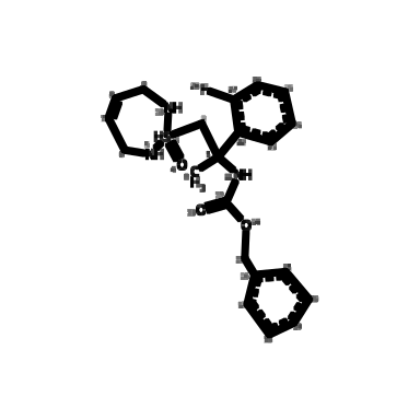 CC(C[SH]1(=O)NCC=CCN1)(NC(=O)OCc1ccccc1)c1ccccc1F